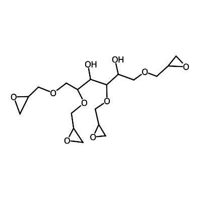 OC(COCC1CO1)C(OCC1CO1)C(O)C(COCC1CO1)OCC1CO1